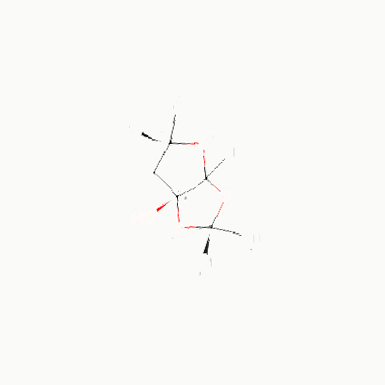 CC(=O)[C@]1(C)C[C@@]2(O)O[C@](C)(C=O)OC2(C)O1